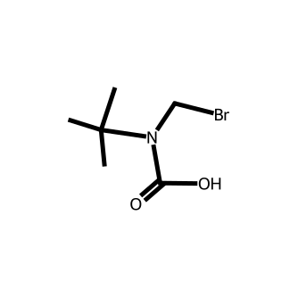 CC(C)(C)N(CBr)C(=O)O